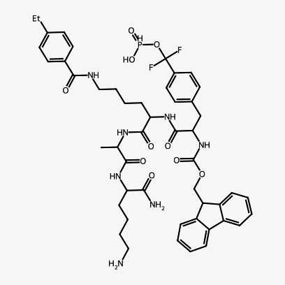 CCc1ccc(C(=O)NCCCCC(NC(=O)C(Cc2ccc(C(F)(F)O[PH](=O)O)cc2)NC(=O)OCC2c3ccccc3-c3ccccc32)C(=O)NC(C)C(=O)NC(CCCCN)C(N)=O)cc1